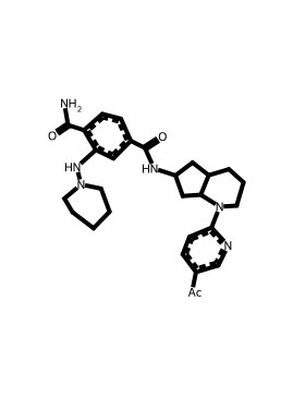 CC(=O)c1ccc(N2CCCC3CC(NC(=O)c4ccc(C(N)=O)c(NN5CCCCC5)c4)CC32)nc1